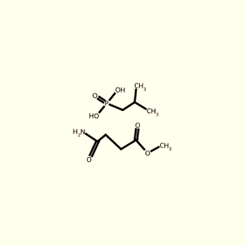 CC(C)CP(=O)(O)O.COC(=O)CCC(N)=O